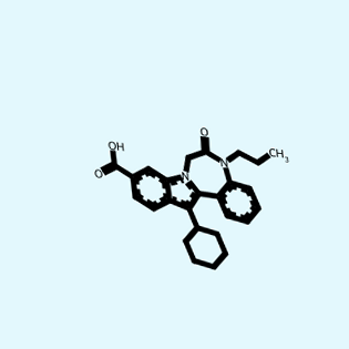 CCCN1C(=O)Cn2c(c(C3CCCCC3)c3ccc(C(=O)O)cc32)-c2ccccc21